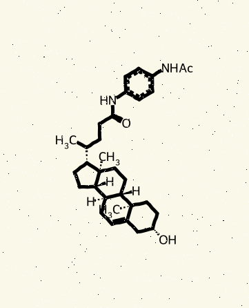 CC(=O)Nc1ccc(NC(=O)CCC(C)[C@H]2CC[C@H]3[C@@H]4CC=C5C[C@@H](O)CC[C@]5(C)[C@H]4CC[C@]23C)cc1